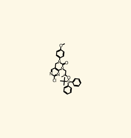 COc1ccc(N2Cc3cnc(Cl)nc3N(C[C@H](C)O[Si](c3ccccc3)(c3ccccc3)C(C)(C)C)C2=O)cc1